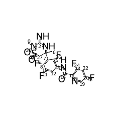 CN1C(=N)N[C@](C)(c2c(F)c(F)cc(NC(=O)c3ncc(F)cc3F)c2F)CS1(=O)=O